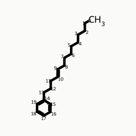 CCCCCCCCCC=CCCCc1[c]cccc1